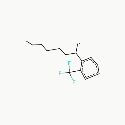 [CH2]C(CCCCCC)c1ccccc1C(F)(F)F